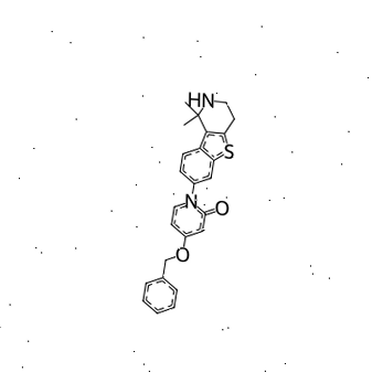 CC1(C)NCCc2sc3cc(-n4ccc(OCc5ccccc5)cc4=O)ccc3c21